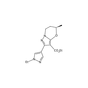 CCOC(=O)c1c(-c2cnn(CC)c2)nn2c1O[C@H](C)CC2